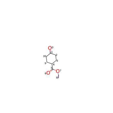 O=C1CCC(C(=O)OI)CC1